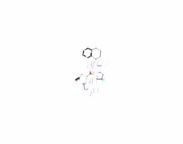 C#CC[C@H](NC(=O)[C@H](C)NC)C(=O)N1CC(F)(F)C[C@H]1C(=O)N[C@@H]1CCCc2ccccc21